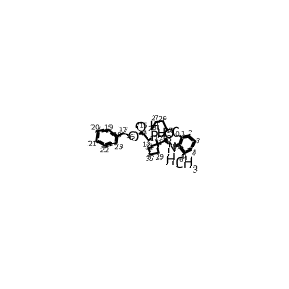 Cc1cccc(C)c1NC(=O)C1([PH]2(CC(=O)OCc3ccccc3)CCCCC2)CCC1